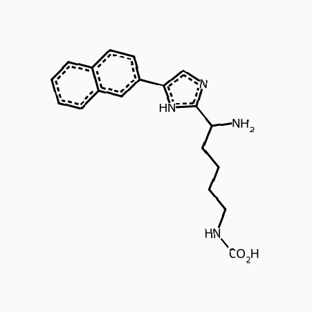 NC(CCCCNC(=O)O)c1ncc(-c2ccc3ccccc3c2)[nH]1